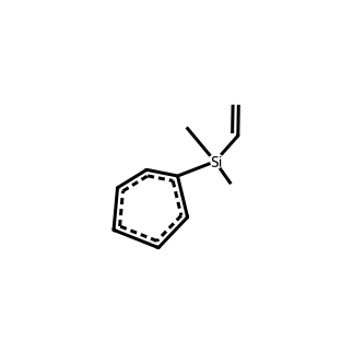 C=C[Si](C)(C)c1ccccc1